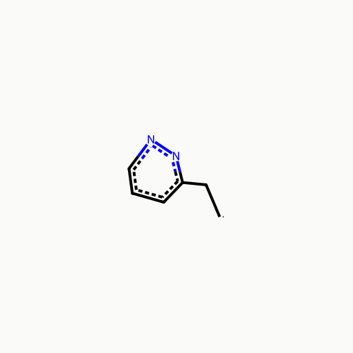 [CH2]Cc1cccnn1